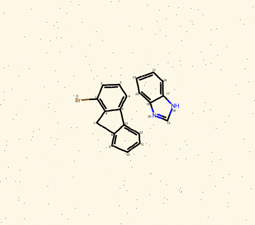 Brc1cccc2c1Cc1ccccc1-2.c1ccc2[nH]cnc2c1